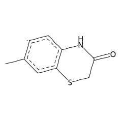 Cc1[c]cc2c(c1)SCC(=O)N2